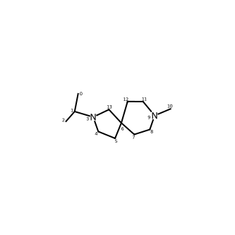 CC(C)N1CCC2(CCN(C)CC2)C1